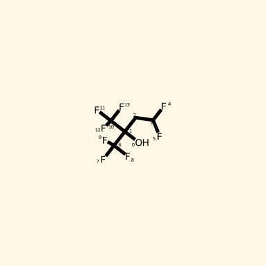 OC(CC(F)F)(C(F)(F)F)C(F)(F)F